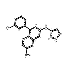 COc1ccc2c(-c3cccc(C(F)(F)F)c3)nc(Nc3cc[nH]n3)cc2c1